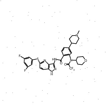 CN1CCC(c2ccc(C(=O)Nc3n[nH]c4ccc(Sc5cc(F)cc(F)c5)nc34)c(N(C(=O)C(F)(F)F)C3CCOCC3)c2)CC1